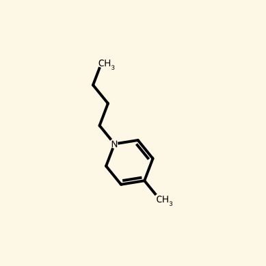 CCCCN1C=CC(C)=CC1